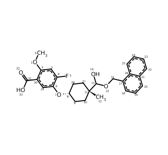 COc1cc(F)c(O[C@H]2CC[C@@](C)(C(O)OCc3cccc4ccccc34)CC2)cc1C(=O)O